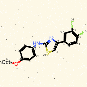 CCCCCCCCOc1ccc(Nc2nc(-c3ccc(F)c(F)c3)cs2)cc1